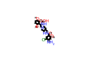 COc1ccc(OC)c(C(CN2CCC(CNC(=O)c3cc(Cl)c(N)cc3OC)CC2)NC(=O)O)c1